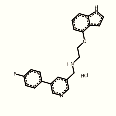 Cl.Fc1ccc(-c2cncc(CNCCOc3cccc4[nH]ccc34)c2)cc1